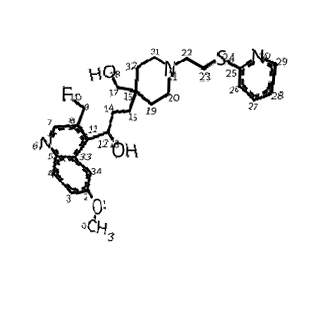 COc1ccc2ncc(CF)c([C@H](O)CCC3(CO)CCN(CCSc4ccccn4)CC3)c2c1